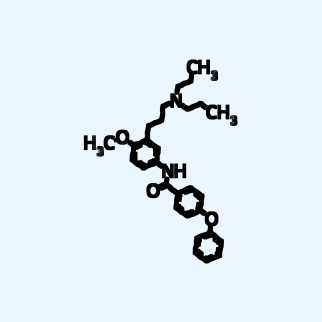 CCCN(CCC)CCCc1cc(NC(=O)c2ccc(Oc3ccccc3)cc2)ccc1OC